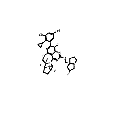 Oc1cc(Cl)c(C2CC2)c(-c2nc3c4c(nc(OC[C@@]56CCCN5C[C@@H](F)C6)nc4c2F)N2C[C@H]4CC[C@H](N4)[C@H]2CO3)c1